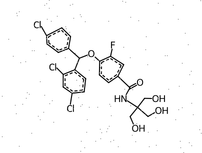 O=C(NC(CO)(CO)CO)c1ccc(OC(c2ccc(Cl)cc2)c2ccc(Cl)cc2Cl)c(F)c1